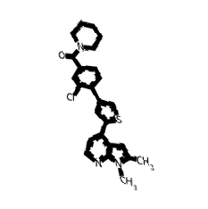 Cc1cc2c(-c3cc(-c4ccc(C(=O)N5CCCCC5)cc4Cl)cs3)ccnc2n1C